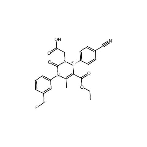 CCOC(=O)C1=C(C)N(c2cccc(CF)c2)C(=O)N(CC(=O)O)[C@@H]1c1ccc(C#N)cc1